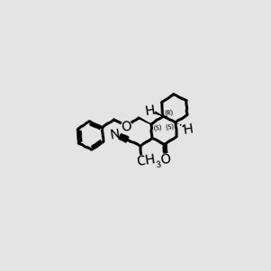 CC(C#N)C1C(=O)C[C@@H]2CCCC[C@H]2[C@@H]1COCc1ccccc1